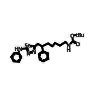 CC(C)(C)OC(=O)NCCCCCC(Cc1nnc(Nc2ccccc2)[se]1)c1ccccc1